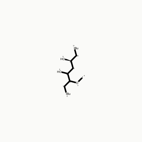 CC(C)(C)CC(OI)C(O)C[C@@H](O)CC(C)(C)C